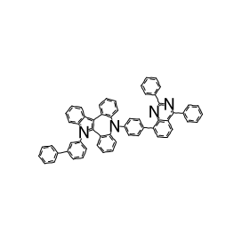 c1ccc(-c2cccc(-n3c4c(c5ccccc53)-c3ccccc3N(c3ccc(-c5cccc6c(-c7ccccc7)nc(-c7ccccc7)nc56)cc3)c3ccccc3-4)c2)cc1